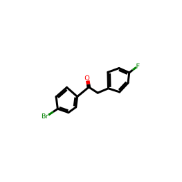 O=C(Cc1ccc(F)cc1)c1ccc(Br)cc1